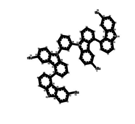 CCCCc1ccc2c(c1)c1c(-c3cccc4sc5ccc(C(C)(C)C)cc5c34)cccc1n2-c1cccc(-n2c3ccc(CCCC)cc3c3c(-c4cccc5sc6ccc(C(C)(C)C)cc6c45)cccc32)c1